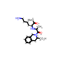 COC(=O)[C@H](CCCCN)NC(C)C(=O)N1Cc2ccccc2CC1C(=O)O